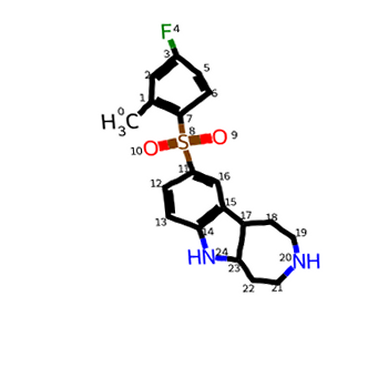 Cc1cc(F)ccc1S(=O)(=O)c1ccc2c(c1)C1CCNCCC1N2